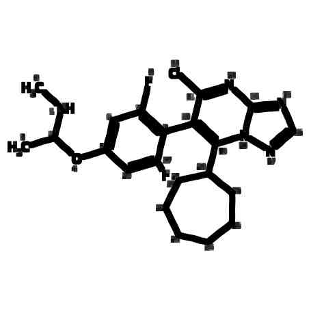 CNC(C)Oc1cc(F)c(-c2c(Cl)nc3ncnn3c2C2CCCCCC2)c(F)c1